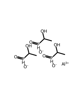 CC(O)[PH](=O)[O-].CC(O)[PH](=O)[O-].CC(O)[PH](=O)[O-].[Al+3]